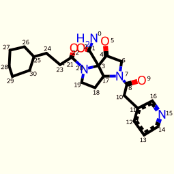 NC(=O)C12C(=O)CN(C(=O)Cc3cccnc3)C1CCN2C(=O)[CH]CC1CCCCC1